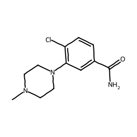 CN1CCN(c2cc(C(N)=O)ccc2Cl)CC1